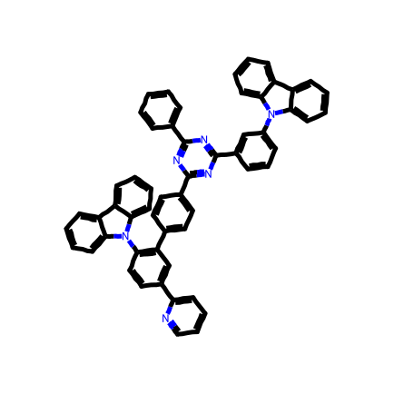 c1ccc(-c2nc(-c3ccc(-c4cc(-c5ccccn5)ccc4-n4c5ccccc5c5ccccc54)cc3)nc(-c3cccc(-n4c5ccccc5c5ccccc54)c3)n2)cc1